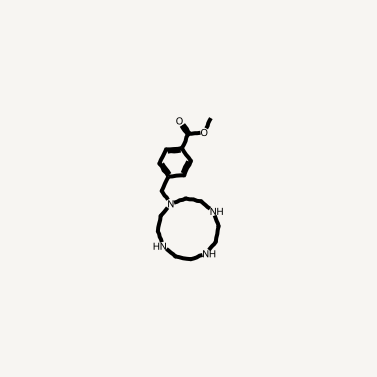 COC(=O)c1ccc(CN2CCNCCNCCNCC2)cc1